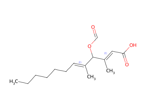 CCCCCC/C=C(\C)C(OC=O)/C(C)=C/C(=O)O